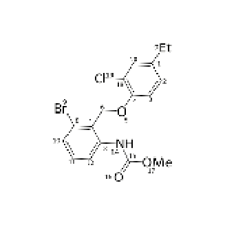 CCc1ccc(OCc2c(Br)cccc2NC(=O)OC)c(Cl)c1